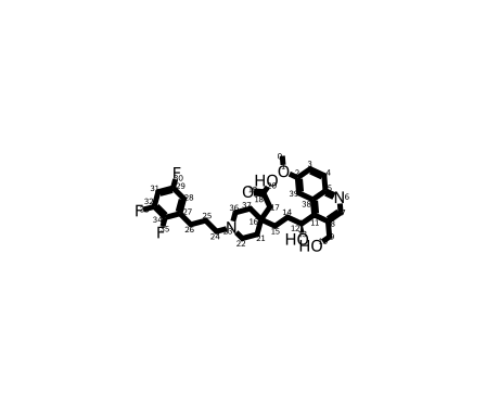 COc1ccc2ncc(CO)c([C@@H](O)CCC3(CC(=O)O)CCN(CCCc4cc(F)cc(F)c4F)CC3)c2c1